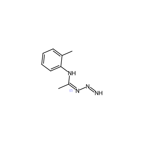 C/C(=N/N=N)Nc1ccccc1C